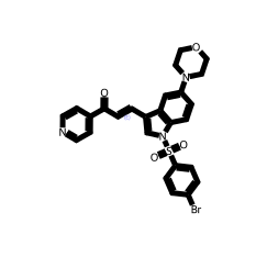 O=C(/C=C/c1cn(S(=O)(=O)c2ccc(Br)cc2)c2ccc(N3CCOCC3)cc12)c1ccncc1